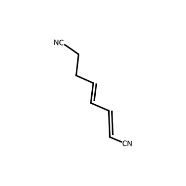 N#CC=CC=CCCC#N